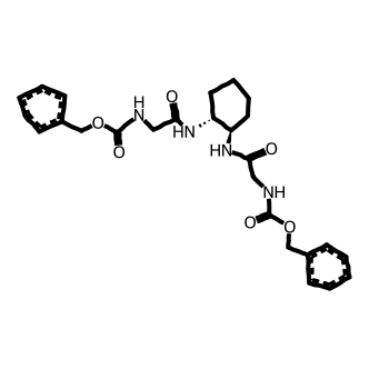 O=C(CNC(=O)OCc1ccccc1)N[C@@H]1CCCC[C@H]1NC(=O)CNC(=O)OCc1ccccc1